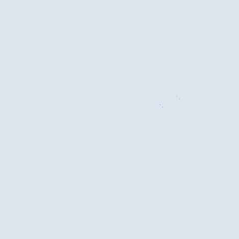 C=CN1CCN(CCCCCCCCCCCC)C1